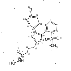 CS(=O)(=O)c1ccccc1-c1oc(CCCC(=O)NO)nc1-c1ccc(Cl)cc1